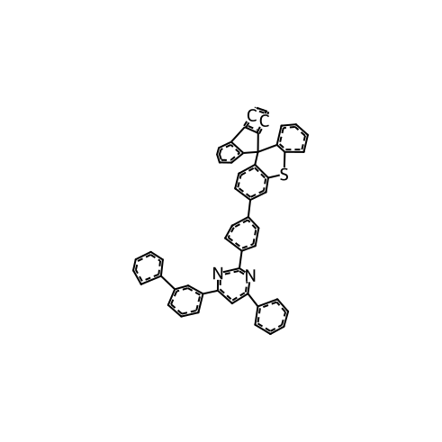 c1ccc(-c2cccc(-c3cc(-c4ccccc4)nc(-c4ccc(-c5ccc6c(c5)Sc5ccccc5C65c6ccccc6-c6ccccc65)cc4)n3)c2)cc1